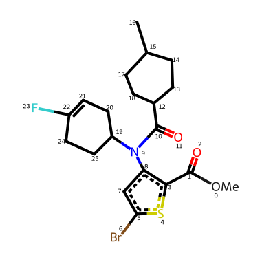 COC(=O)c1sc(Br)cc1N(C(=O)C1CCC(C)CC1)C1CC=C(F)CC1